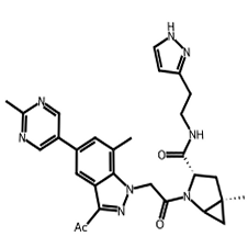 CC(=O)c1nn(CC(=O)N2C3C[C@]3(C)C[C@H]2C(=O)NCCc2cc[nH]n2)c2c(C)cc(-c3cnc(C)nc3)cc12